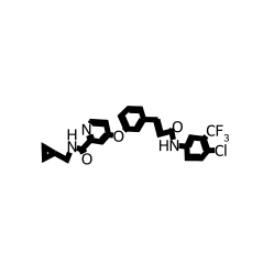 O=C(C=Cc1cccc(Oc2ccnc(C(=O)NCC3CC3)c2)c1)Nc1ccc(Cl)c(C(F)(F)F)c1